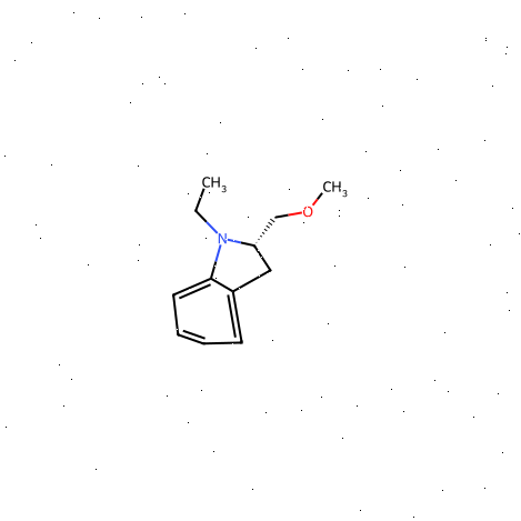 CCN1c2ccccc2C[C@H]1COC